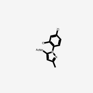 CC(=O)Nc1cc(C)nn1-c1ccc(Cl)cc1Cl